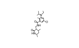 CCN(c1cc(Cl)cc(C(=O)NCC2C(=O)NC(C)CC2C)c1C)C(C)C